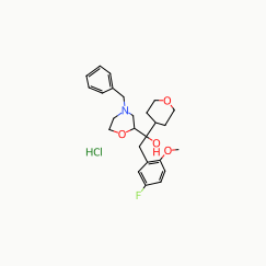 COc1ccc(F)cc1CC(O)(C1CCOCC1)C1CN(Cc2ccccc2)CCO1.Cl